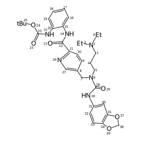 CCN(CC)CCCN(Cc1ccc(C(=O)Nc2ccccc2NC(=O)OC(C)(C)C)nc1)C(=O)Nc1ccc2c(c1)OCO2